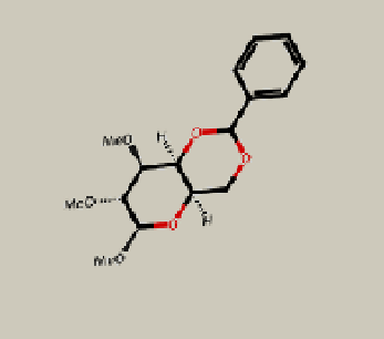 CO[C@@H]1O[C@@H]2COC(c3ccccc3)O[C@@H]2[C@H](OC)[C@H]1OC